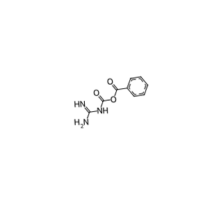 N=C(N)NC(=O)OC(=O)c1ccccc1